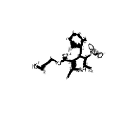 CC1=C(C(=O)OCCS)C(c2ccccc2C)C([N+](=O)[O-])=C(C)N1